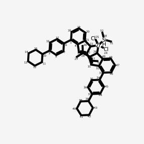 CCC1=Cc2c(-c3ccc(C4CCCCC4)cc3)cccc2[CH]1[Zr]([Cl])([Cl])([CH]1C(C(C)C)=Cc2c(-c3ccc(C4CCCCC4)cc3)cccc21)[SiH](C)C